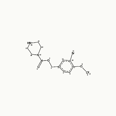 O=C(OCc1ccc(OC(F)(F)F)c(Br)c1)N1CCNCC1